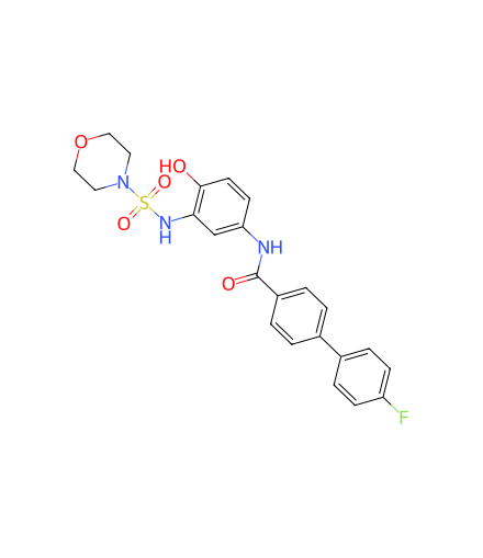 O=C(Nc1ccc(O)c(NS(=O)(=O)N2CCOCC2)c1)c1ccc(-c2ccc(F)cc2)cc1